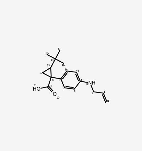 C=CCNc1ccc(C2(C(=O)O)CC2C(C)(C)C)cc1